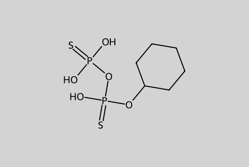 OP(O)(=S)OP(O)(=S)OC1CCCCC1